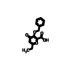 CCc1cc(=O)c(OCc2ccccc2)c(C(=O)O)o1